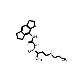 CC(CCNCCC(F)(F)F)[S+]([O-])NC(=O)Nc1c2c(cc3c1CCC3)CCC2